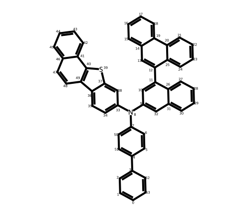 c1ccc(-c2ccc(N(c3cc(-c4cc5ccccc5c5ccccc45)c4ccccc4c3)c3ccc4c(c3)sc3c5ccccc5ccc43)cc2)cc1